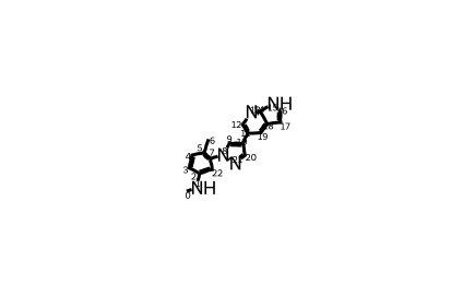 CNc1ccc(C)c(-n2cc(-c3cnc4[nH]ccc4c3)cn2)c1